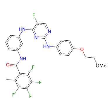 COCCOc1ccc(Nc2ncc(F)c(Nc3cccc(NC(=O)c4c(C)c(F)c(F)c(F)c4F)c3)n2)cc1